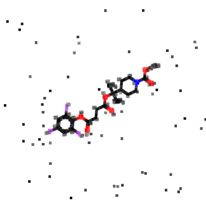 CC(C)(C)OC(=O)N1CCC(C(C)(C)OC(=O)CCC(=O)Oc2c(I)cc(I)cc2I)CC1